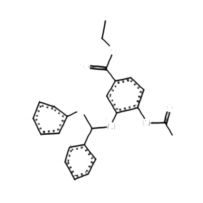 CCOC(=O)c1ccc(NC(C)=O)c(NC(Oc2ccccc2)c2ccccc2)c1